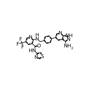 Nc1n[nH]c2ncc(-c3ccc(CNc4ncc(C(F)(F)F)cc4C(=O)Nc4cscn4)cc3)cc12